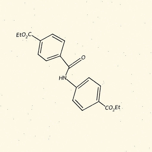 CCOC(=O)c1ccc(NC(=O)c2ccc(C(=O)OCC)cc2)cc1